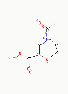 COC(=O)[C@H]1CN(C(C)=O)CCO1